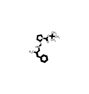 CC(=Cc1ccccc1)CNC[C@@H]1CCCN1C(=O)OC(C)(C)C